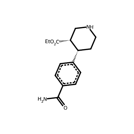 CCOC(=O)[C@@H]1CNCC[C@@H]1c1ccc(C(N)=O)cc1